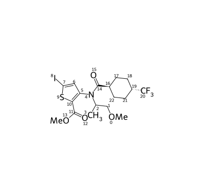 COCC(C)N(c1cc(I)sc1C(=O)OC)C(=O)[C@H]1CC[C@H](C(F)(F)F)CC1